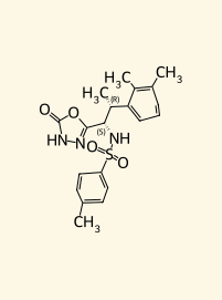 Cc1ccc(S(=O)(=O)N[C@H](c2n[nH]c(=O)o2)[C@H](C)c2cccc(C)c2C)cc1